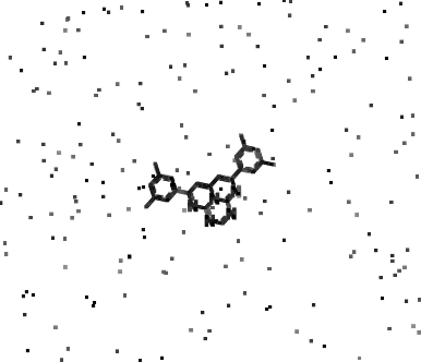 Cc1cc(C)cc(C2=CC3=CC(c4cc(C)cc(C)c4)=NC4=NC=NC(=N2)N34)c1